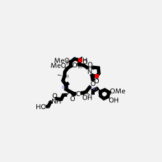 CO[C@H]1C[C@@H](C)C/C(C)=C/[C@@H](CCCC(=O)NCCO)C(=O)C[C@H](O)[C@@H](C)[C@@H](/C(C)=C/[C@@H]2CC[C@@H](O)[C@H](OC)C2)OC(=O)[C@@H]2CCCCN2C(=O)C(=O)[C@]2(O)O[C@H]1[C@@H](OC)C[C@H]2C